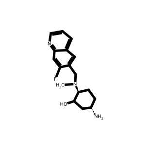 CN(Cc1cc2cccnc2cc1F)[C@H]1CC[C@H](N)CC1O